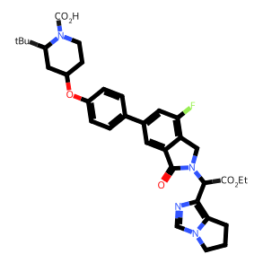 CCOC(=O)C(c1ncn2c1CCC2)N1Cc2c(F)cc(-c3ccc(OC4CCN(C(=O)O)C(C(C)(C)C)C4)cc3)cc2C1=O